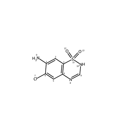 Nc1cc2c(cc1Cl)N=CNS2(=O)=O